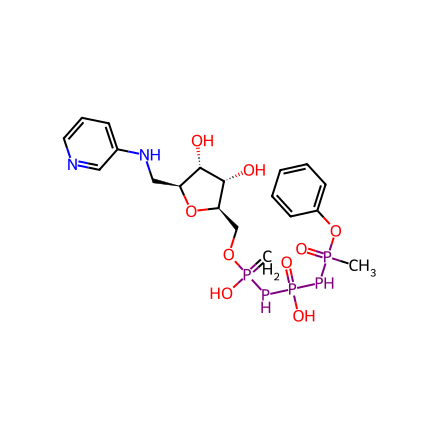 C=P(O)(OC[C@H]1O[C@@H](CNc2cccnc2)[C@H](O)[C@@H]1O)PP(=O)(O)PP(C)(=O)Oc1ccccc1